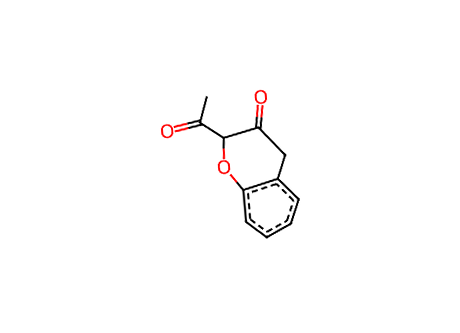 CC(=O)C1Oc2ccccc2CC1=O